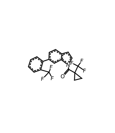 O=C(n1ccc2ccc(-c3ccccc3C(F)(F)F)cc21)C1(C(F)(F)F)CC1